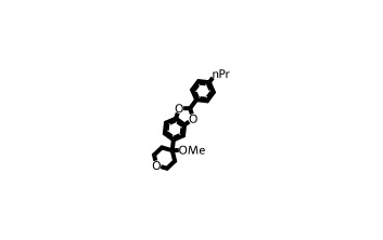 CCCc1ccc(C2Oc3ccc(C4(OC)CCOCC4)cc3O2)cc1